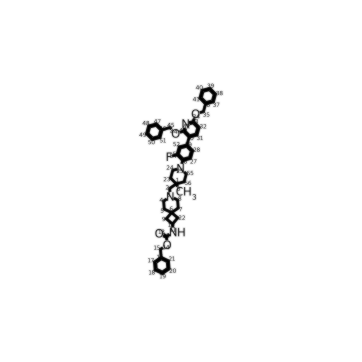 CC1(CN2CCC3(CC2)CC(NC(=O)OCc2ccccc2)C3)CCN(c2ccc(-c3ccc(OCc4ccccc4)nc3OCc3ccccc3)cc2F)CC1